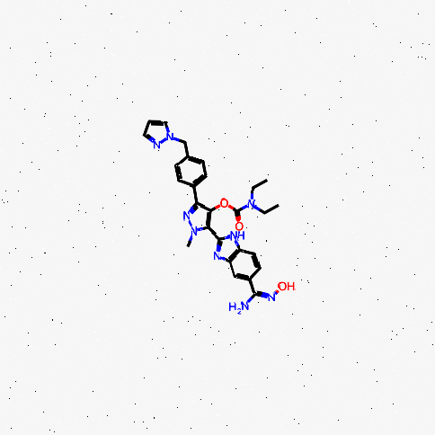 CCN(CC)C(=O)Oc1c(-c2ccc(Cn3cccn3)cc2)nn(C)c1-c1nc2cc(/C(N)=N\O)ccc2[nH]1